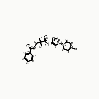 CN1CCN([n+]2cc([N-]C(=O)C(C)(C)CSC(=O)c3ccccc3)on2)CC1